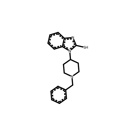 Sc1nc2ccccc2n1C1CCN(Cc2ccccc2)CC1